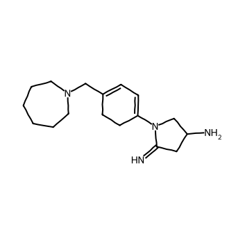 N=C1CC(N)CN1C1=CC=C(CN2CCCCCC2)CC1